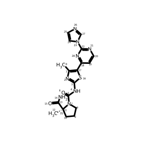 Cc1nc(NC(=O)N2CCC[C@@]2(C)C(N)=O)sc1-c1ccnc(-n2ccnc2)n1